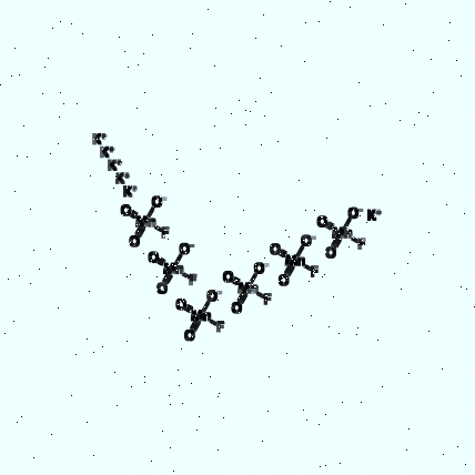 [K+].[K+].[K+].[K+].[K+].[K+].[O]=[Mn](=[O])([O-])[F].[O]=[Mn](=[O])([O-])[F].[O]=[Mn](=[O])([O-])[F].[O]=[Mn](=[O])([O-])[F].[O]=[Mn](=[O])([O-])[F].[O]=[Mn](=[O])([O-])[F]